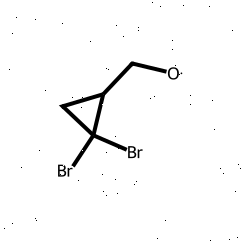 [O]CC1CC1(Br)Br